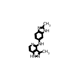 Cc1nc2ccc(Nc3nccc4[nH]nc(C)c34)cc2[nH]1